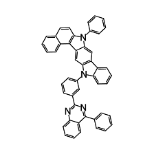 c1ccc(-c2nc(-c3cccc(-n4c5ccccc5c5cc6c(cc54)c4c5ccccc5ccc4n6-c4ccccc4)c3)nc3ccccc23)cc1